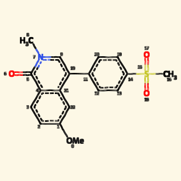 COc1ccc2c(=O)n(C)cc(-c3ccc(S(C)(=O)=O)cc3)c2c1